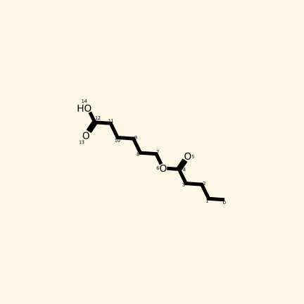 CCCCC(=O)OCCCCCC(=O)O